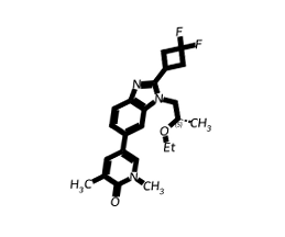 CCO[C@@H](C)Cn1c(C2CC(F)(F)C2)nc2ccc(-c3cc(C)c(=O)n(C)c3)cc21